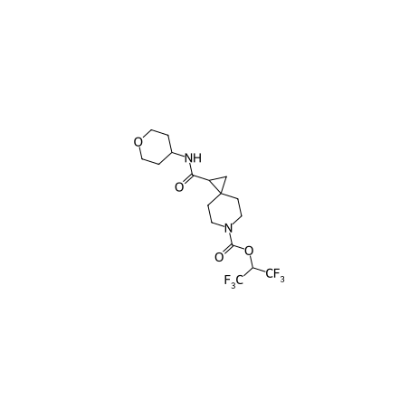 O=C(NC1CCOCC1)C1CC12CCN(C(=O)OC(C(F)(F)F)C(F)(F)F)CC2